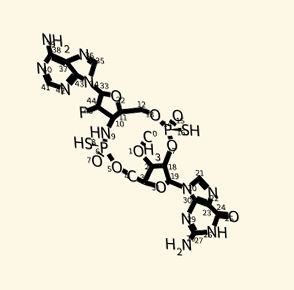 COC1C2CO[P@](=O)(S)NC3C(CO[P@@](=O)(S)OC1C(n1cnc4c(=O)[nH]c(N)nc41)O2)OC(n1cnc2c(N)ncnc21)C3F